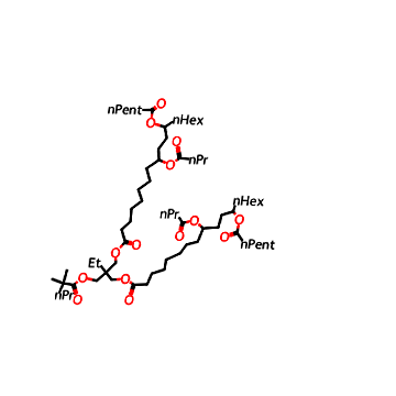 CCCCCCC(CCC(CCCCCCCC(=O)OCC(CC)(COC(=O)CCCCCCCC(CCC(CCCCCC)OC(=O)CCCCC)OC(=O)CCC)COC(=O)C(C)(C)CCC)OC(=O)CCC)OC(=O)CCCCC